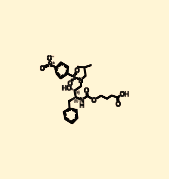 CC(C)CN(C[C@@H](O)[C@H](Cc1ccccc1)NC(=O)OCCCC(=O)O)S(=O)(=O)c1ccc([N+](=O)[O-])cc1